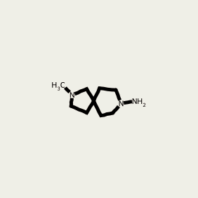 CN1CCC2(CCN(N)CC2)C1